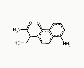 NC(=O)C(CO)n1ccc2c(N)cccc2c1=O